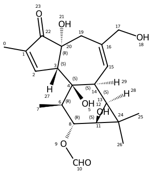 CC1=C[C@H]2[C@@]3(O)[C@H](C)[C@@H](OC=O)[C@]4(O)[C@@H]([C@@H]3C=C(CO)C[C@]2(O)C1=O)C4(C)C